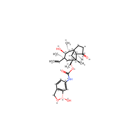 C=C[C@]1(C)C[C@@H](OC(=O)Nc2ccc3c(c2)B(O)OC3)[C@]2(C)[C@H](C)CC[C@]3(CCC(=O)[C@H]32)[C@@H](C)[C@@H]1O